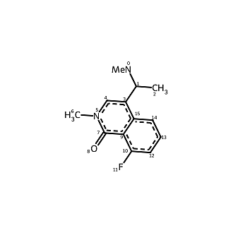 CNC(C)c1cn(C)c(=O)c2c(F)cccc12